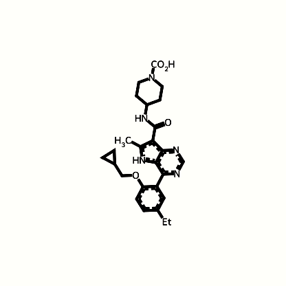 CCc1ccc(OCC2CC2)c(-c2ncnc3c(C(=O)NC4CCN(C(=O)O)CC4)c(C)[nH]c23)c1